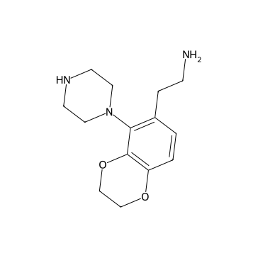 NCCc1ccc2c(c1N1CCNCC1)OCCO2